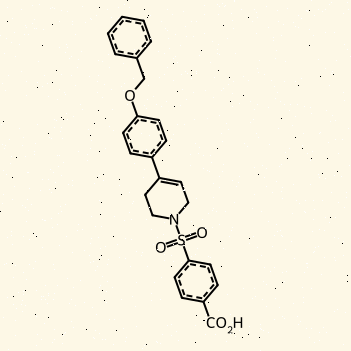 O=C(O)c1ccc(S(=O)(=O)N2CC=C(c3ccc(OCc4ccccc4)cc3)CC2)cc1